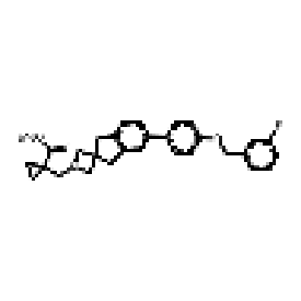 COC(=O)C1(CN2CC3(Cc4ccc(-c5ccc(OCc6cccc(F)c6)cc5)cc4C3)C2)CC1